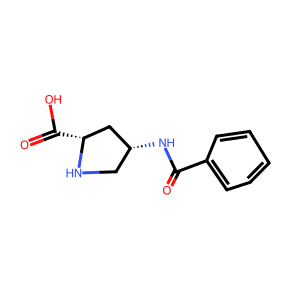 O=C(N[C@@H]1CN[C@H](C(=O)O)C1)c1ccccc1